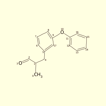 CC(C=O)Cc1cccc(Oc2ccccc2)c1